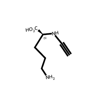 C#CN[C@@H](CCCN)C(=O)O